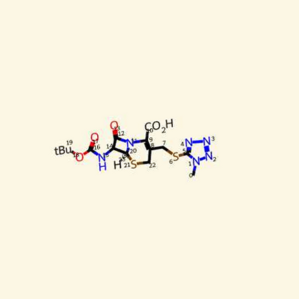 Cn1nnnc1SCC1=C(C(=O)O)N2C(=O)C(NC(=O)OC(C)(C)C)[C@@H]2SC1